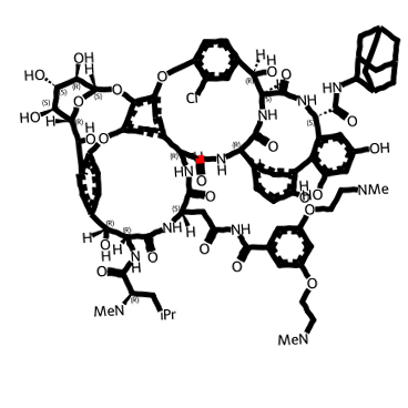 CNCCOc1cc(OCCNC)cc(C(=O)NC(=O)C[C@@H]2NC(=O)[C@H](NC(=O)[C@@H](CC(C)C)NC)[C@H](O)c3ccc4c(c3)C(O)[C@H]3O[C@@H](Oc5c6cc(cc5O4)[C@@H](NC2=O)C(=O)N[C@H]2C(=O)N[C@H](C(=O)N[C@H](C(=O)NC4C5CC7CC(C5)CC4C7)c4cc(O)cc(O)c4-c4cc2ccc4O)[C@H](O)c2ccc(c(Cl)c2)O6)[C@H](O)[C@@H](O)[C@@H]3O)c1